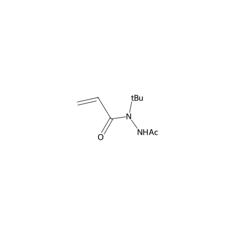 C=CC(=O)N(NC(C)=O)C(C)(C)C